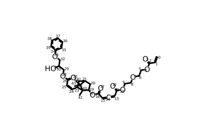 C=CC(=O)OCCOCCOC(=O)C=C=CC(=O)OC1CC2CC(/C=C\C(=O)OCC(O)COc3ccccc3)C1(C)C2(C)C